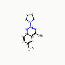 CC(C)(C)c1nc(N2CCCC2)nc2ccc(C=O)cc12